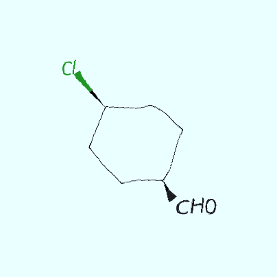 O=C[C@H]1CC[C@@H](Cl)CC1